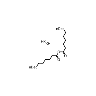 CCCCCCCCCCCCCCCC(=O)OC(=O)CCCCCCCCCCCCCCC.[KH].[KH]